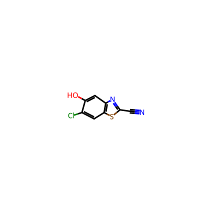 N#Cc1nc2cc(O)c(Cl)cc2s1